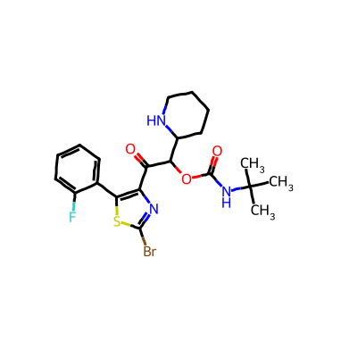 CC(C)(C)NC(=O)OC(C(=O)c1nc(Br)sc1-c1ccccc1F)C1CCCCN1